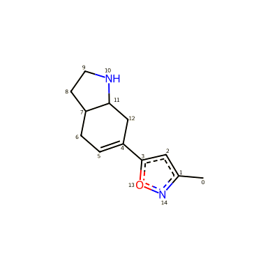 Cc1cc(C2=CCC3CCNC3C2)on1